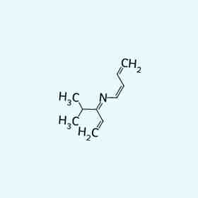 C=C/C=C\N=C(/C=C)C(C)C